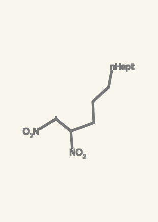 [CH2]CCCCCCCCCC([CH][N+](=O)[O-])[N+](=O)[O-]